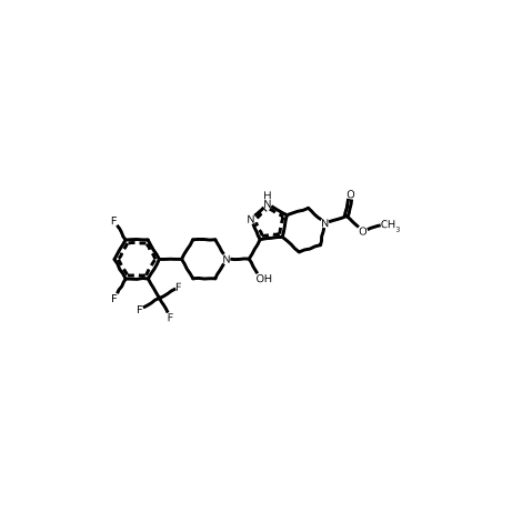 COC(=O)N1CCc2c(C(O)N3CCC(c4cc(F)cc(F)c4C(F)(F)F)CC3)n[nH]c2C1